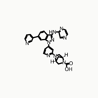 O=C(O)N1C[C@@H]2C[C@H]1CN2c1cc(-n2nc(Nc3cnccn3)c3ccc(-c4cccnc4)cc32)ccn1